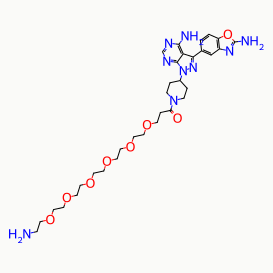 NCCOCCOCCOCCOCCOCCOCCC(=O)N1CCC(n2nc(-c3ccc4oc(N)nc4c3)c3c(N)ncnc32)CC1